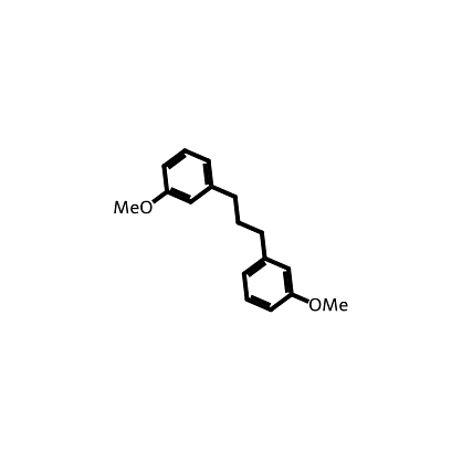 COc1cccc(CCCc2cccc(OC)c2)c1